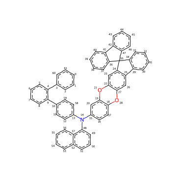 c1ccc(-c2ccccc2-c2ccc(N(c3ccc4c(c3)Oc3cc5c(cc3O4)-c3ccccc3C53c4ccccc4-c4ccccc43)c3cccc4ccccc34)cc2)cc1